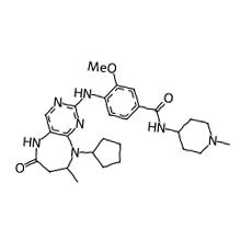 COc1cc(C(=O)NC2CCN(C)CC2)ccc1Nc1ncc2c(n1)N(C1CCCC1)C(C)CC(=O)N2